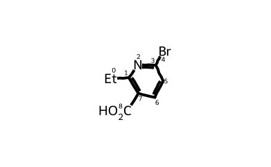 CCc1nc(Br)ccc1C(=O)O